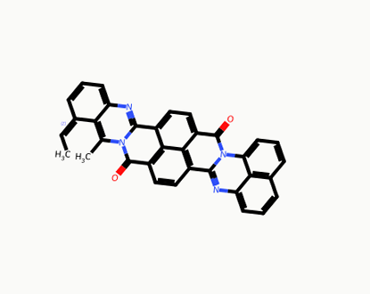 C/C=c1/cccc2nc3c4ccc5c(=O)n6c7cccc8cccc(nc6c6ccc(c(=O)n3c(C)c12)c4c56)c87